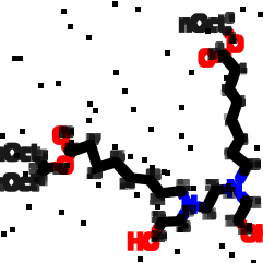 CCCCCCCCOC(=O)CCCCCCCN(CCO)CCN(CCO)CCCCCCCC(=O)OC(CCCCCCCC)CCCCCCCC